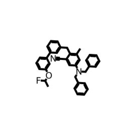 Cc1cc(N(Cc2ccccc2)Cc2ccccc2)cc(C#N)c1Cc1cccc(-c2cccc(OC(C)F)c2)c1